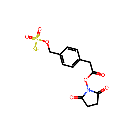 O=C(Cc1ccc(COS(=O)(=O)S)cc1)ON1C(=O)CCC1=O